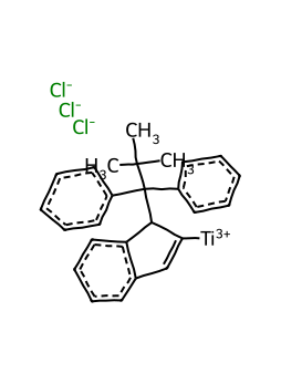 CC(C)(C)C(c1ccccc1)(c1ccccc1)C1[C]([Ti+3])=Cc2ccccc21.[Cl-].[Cl-].[Cl-]